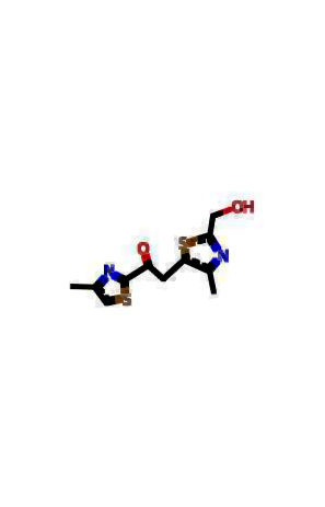 Cc1csc(C(=O)Cc2sc(CO)nc2C)n1